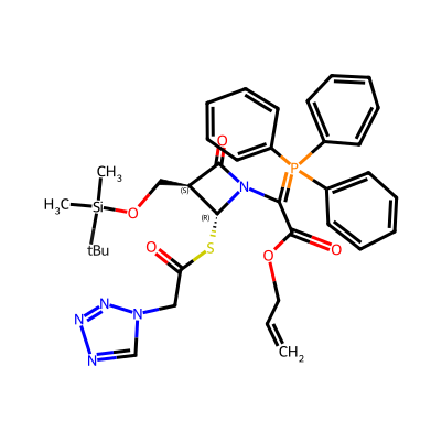 C=CCOC(=O)C(N1C(=O)[C@H](CO[Si](C)(C)C(C)(C)C)[C@H]1SC(=O)Cn1cnnn1)=P(c1ccccc1)(c1ccccc1)c1ccccc1